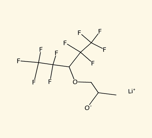 CC([O-])COC(C(F)(F)C(F)(F)F)C(F)(F)C(F)(F)F.[Li+]